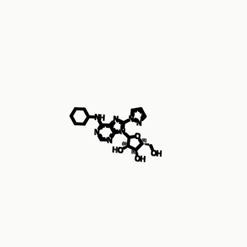 OC[C@H]1OC(n2c(-n3cccn3)nc3c(NC4CCCCC4)ncnc32)[C@H](O)[C@@H]1O